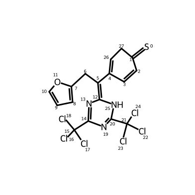 S=C1C=CC(C(Cc2ccco2)=C2N=C(C(Cl)(Cl)Cl)N=C(C(Cl)(Cl)Cl)N2)=CC1